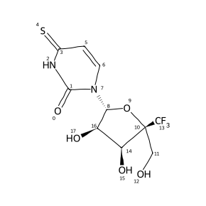 O=c1[nH]c(=S)ccn1[C@@H]1O[C@@](CO)(C(F)(F)F)[C@@H](O)[C@H]1O